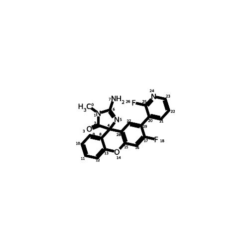 CN1C(=O)C2(N=C1N)c1ccccc1Oc1cc(F)c(-c3cccnc3F)cc12